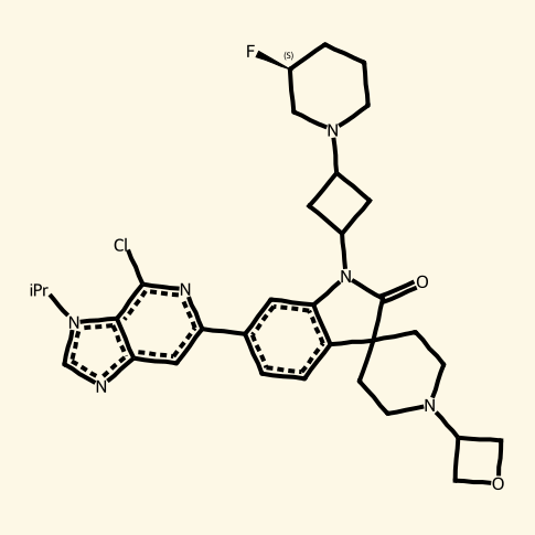 CC(C)n1cnc2cc(-c3ccc4c(c3)N(C3CC(N5CCC[C@H](F)C5)C3)C(=O)C43CCN(C4COC4)CC3)nc(Cl)c21